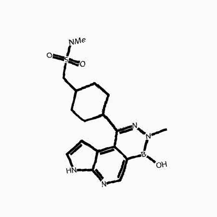 CNS(=O)(=O)CC1CCC(C2=NN(C)B(O)c3cnc4[nH]ccc4c32)CC1